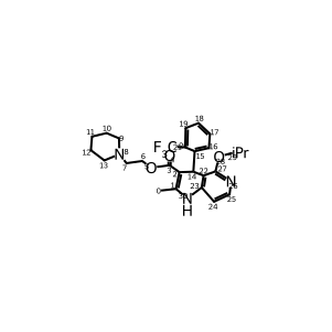 CC1=C(C(=O)OCCN2CCCCC2)C(c2ccccc2C(F)(F)F)c2c(ccnc2OC(C)C)N1